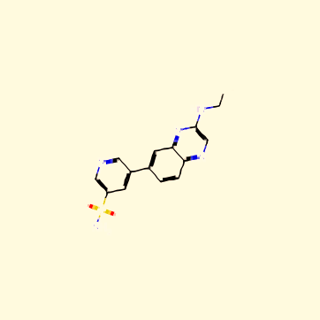 CC(C)(C)CNc1cnc2ccc(-c3cncc(S(N)(=O)=O)c3)cc2n1